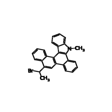 CC(Br)c1cc2c3ccccc3c3c(c4ccccc4n3C)c2c2ccccc12